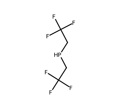 FC(F)(F)CPCC(F)(F)F